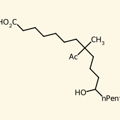 CCCCCC(O)CCCC(C)(CCCCCCC(=O)O)C(C)=O